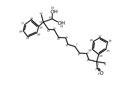 CC(C=O)(CCCCCCCCCC(C)(c1ccccc1)C(O)O)c1ccccc1